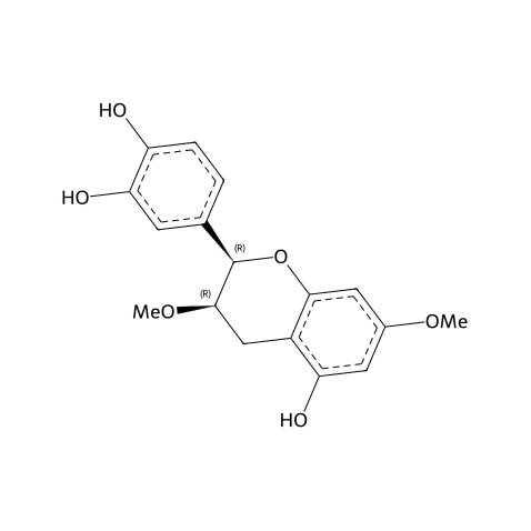 COc1cc(O)c2c(c1)O[C@H](c1ccc(O)c(O)c1)[C@H](OC)C2